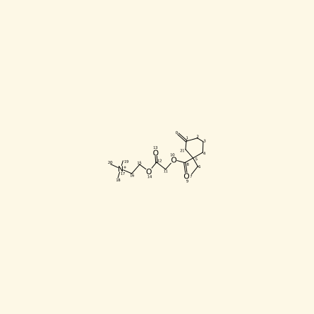 C=C1CCCC(CC)(C(=O)OCC(=O)OCC[N+](C)(C)C)C1